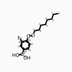 CCCCCCCCOOc1ccc(B(O)O)cc1F